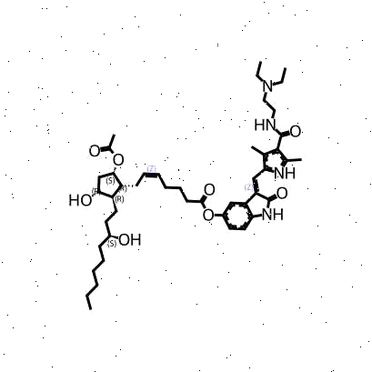 CCCCCC[C@H](O)CC[C@@H]1[C@@H](C/C=C\CCCC(=O)Oc2ccc3c(c2)/C(=C/c2[nH]c(C)c(C(=O)NCCN(CC)CC)c2C)C(=O)N3)[C@@H](OC(C)=O)C[C@H]1O